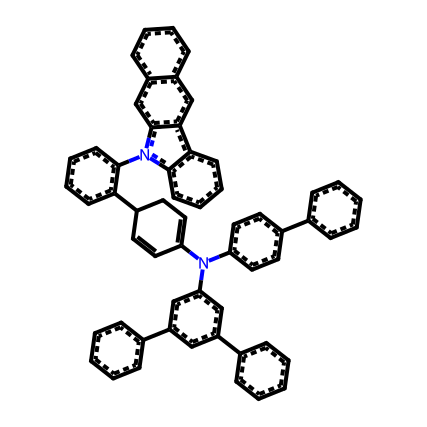 C1=CC(c2ccccc2-n2c3ccccc3c3cc4ccccc4cc32)CC=C1N(c1ccc(-c2ccccc2)cc1)c1cc(-c2ccccc2)cc(-c2ccccc2)c1